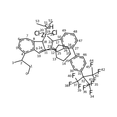 CCC(C)c1cccc2c1C=C(C1CCCCC1)[CH]2[Zr]([Cl])([Cl])([CH]1C(C)=Cc2c(-c3ccc(C(C(F)(F)F)(C(F)(F)F)C(F)(F)F)cc3)cccc21)[SiH](C)C